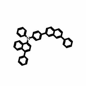 c1ccc(-c2ccc3ccc(-c4ccc(N(c5ccccc5)c5ccc(-c6ccccc6)c6ccccc56)cc4)cc3c2)cc1